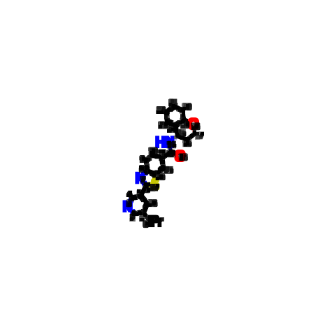 CC(C)c1cncc(-c2nc3ccc(C(=O)N[C@H]4CCOc5ccccc54)cc3s2)c1